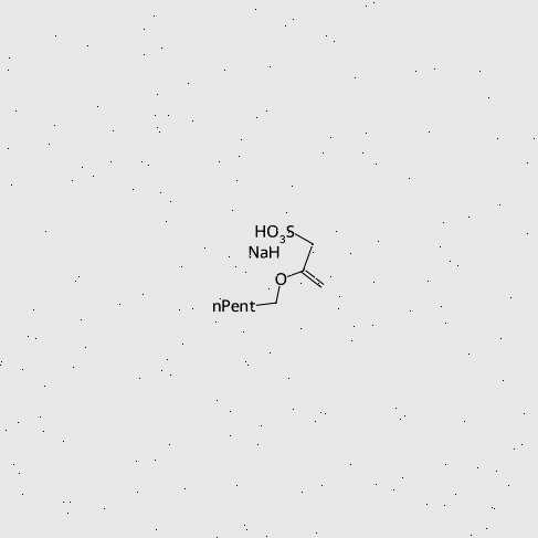 C=C(CS(=O)(=O)O)OCCCCCC.[NaH]